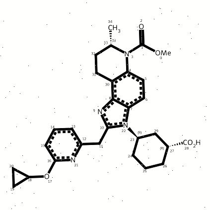 COC(=O)N1c2ccc3c(nc(Cc4cccc(OC5CC5)n4)n3[C@@H]3CCC[C@@H](C(=O)O)C3)c2CC[C@@H]1C